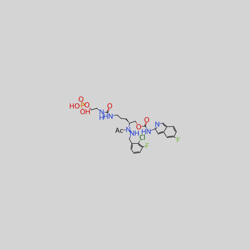 CC(=O)N(NCc1cccc(F)c1Cl)[C@@H](CCCNC(=O)NCCOP(=O)(O)O)COC(=O)Nc1cc2cc(F)ccc2cn1